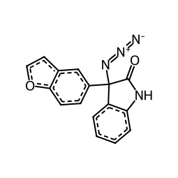 [N-]=[N+]=NC1(c2ccc3occc3c2)C(=O)Nc2ccccc21